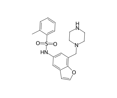 Cc1ccccc1S(=O)(=O)Nc1cc(CN2CCNCC2)c2occc2c1